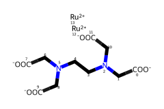 O=C([O-])CN(CCN(CC(=O)[O-])CC(=O)[O-])CC(=O)[O-].[Ru+2].[Ru+2]